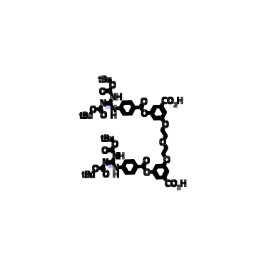 CC(C)(C)OC(=O)/N=C(/NC(=O)OC(C)(C)C)Nc1ccc(C(=O)Oc2cc(OCCOCCOc3cc(OC(=O)c4ccc(N/C(=N\C(=O)OC(C)(C)C)NC(=O)OC(C)(C)C)cc4)cc(C(=O)O)c3)cc(C(=O)O)c2)cc1